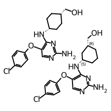 Nc1ncc(Oc2ccc(Cl)cc2)c(N[C@H]2CCC[C@@H](CO)C2)n1.Nc1ncc(Oc2ccc(Cl)cc2)c(N[C@H]2CC[C@@H](CO)CC2)n1